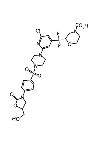 O=C(O)N1CCO[C@H](C(F)(F)c2cc(Cl)nc(N3CCN(S(=O)(=O)c4ccc(N5CC(CO)OC5=O)cc4)CC3)c2)C1